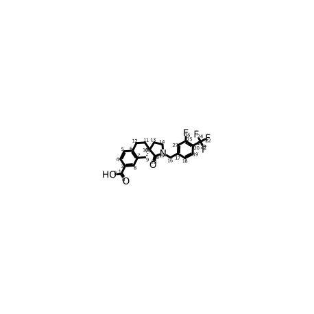 O=C(O)c1ccc2c(c1)C[C@]1(CC2)CCN(Cc2ccc(C(F)(F)F)c(F)c2)C1=O